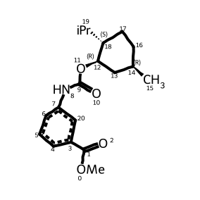 COC(=O)c1cccc(NC(=O)O[C@@H]2C[C@H](C)CC[C@H]2C(C)C)c1